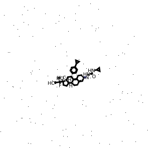 C#CC(F)(F)[C@]1(O)CC[C@H]2[C@@H]3CCC4=C/C(=N/NC(=O)NC5CC5)CCC4=C3[C@@H](c3ccc(C4CC4)cc3)C[C@@]21C